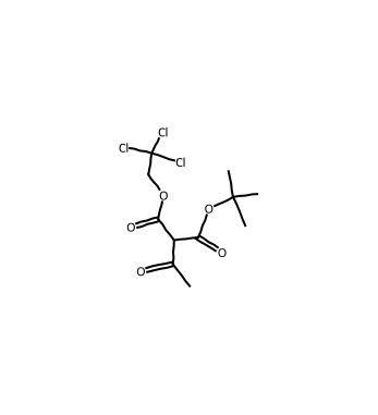 CC(=O)C(C(=O)OCC(Cl)(Cl)Cl)C(=O)OC(C)(C)C